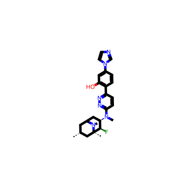 C[C@@H]1CC2C[C@H](N(C)c3ccc(-c4ccc(-n5ccnc5)cc4O)nn3)[C@@H](F)[C@@](C)(C1)N2C